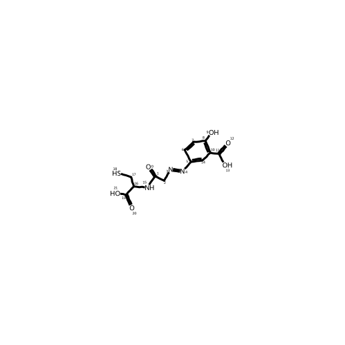 O=C(CN=Nc1ccc(O)c(C(=O)O)c1)NC(CS)C(=O)O